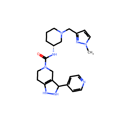 Cn1ccc(CN2CCC[C@@H](NC(=O)N3CCC4=C(C3)C(c3ccncc3)NN4)C2)n1